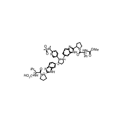 COC(=O)N[C@H](C(=O)N1CCCC1c1nc2ccc([C@H]3CC[C@H](c4ccc5nc([C@@H]6CCCN6C(=O)[C@@H](NC(=O)O)C(C)C)[nH]c5c4)N3c3ccc(N(C)S(C)(=O)=O)nc3)cc2[nH]1)C(C)C